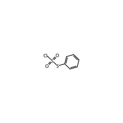 O=S(=O)(Cl)Sc1ccccc1